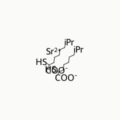 CC(C)CCCCCC(S)C(=O)[O-].CC(C)CCCCCC(S)C(=O)[O-].[Sr+2]